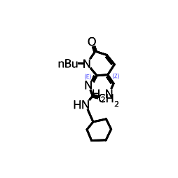 C=C(/N=C1\C(=C/N)C=CC(=O)N1CCCC)NC1CCCCC1